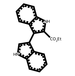 CCOC(=O)c1[nH]c2ccccc2c1-c1c[nH]c2ccccc12